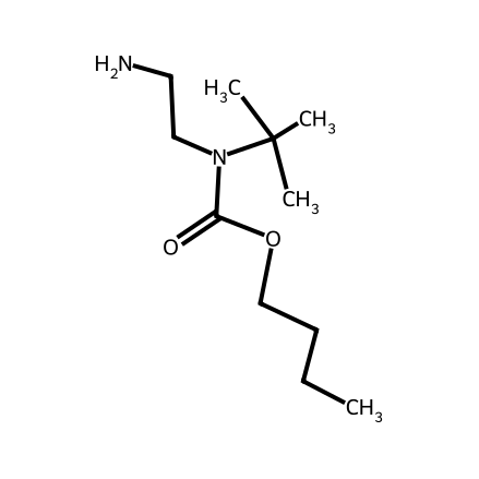 CCCCOC(=O)N(CCN)C(C)(C)C